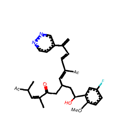 C=C(/C=C/C(=C/C(CC(=O)/C(C)=C\C(C)C(C)=O)CC(O)c1cc(F)ccc1OC)C(C)=O)c1ccnnc1